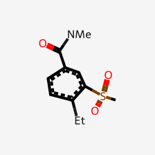 CCc1ccc(C(=O)NC)cc1S(C)(=O)=O